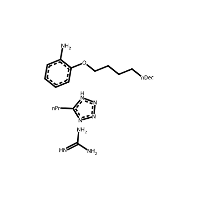 CCCCCCCCCCCCCCOc1ccccc1N.CCCc1nnn[nH]1.N=C(N)N